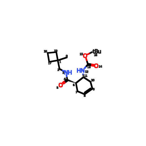 CC1(CNC(=O)[C@H]2CC=CC[C@H]2NC(=O)OC(C)(C)C)CCC1